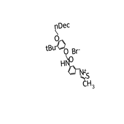 CCCCCCCCCCCCOc1ccc(OCC(=O)Nc2cccc(C[n+]3csc(C)c3)c2)cc1C(C)(C)C.[Br-]